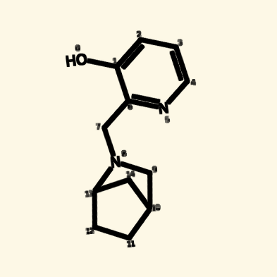 Oc1cccnc1CN1CC2CCC1C2